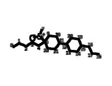 CCCCCC1([S+](C)[O-])CCC(C2CCC(CCC)CC2)CC1